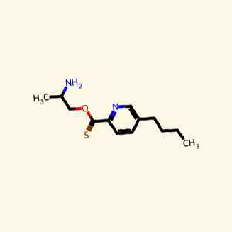 CCCCc1ccc(C(=S)OCC(C)N)nc1